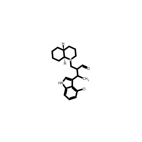 CC(c1c[nH]c2cccc(Cl)c12)C(C=O)CN1CCC[C@H]2CCCC[C@@H]21